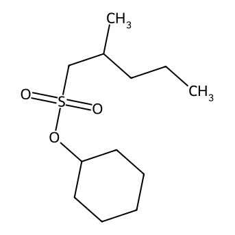 CCCC(C)CS(=O)(=O)OC1CCCCC1